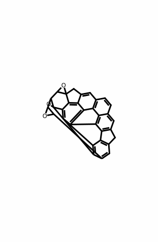 c1c2c3c4c5c1Cc1cc6ccc7cc8c9c%10c(c4c4c9c7c6c4c15)C31OC1(C1OC21)C1OC%101C8